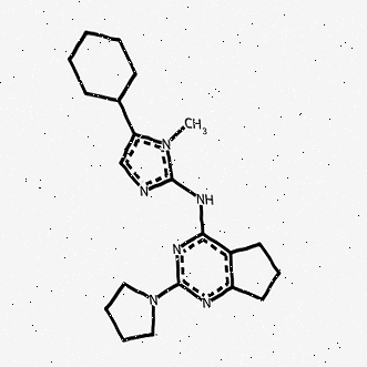 Cn1c(C2CCCCC2)cnc1Nc1nc(N2[CH]CCC2)nc2c1CCC2